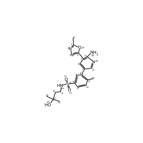 Cc1nnc(-c2cc(-c3cc(S(=O)(=O)NCCC(C)(C)O)ccc3C)cnc2N)o1